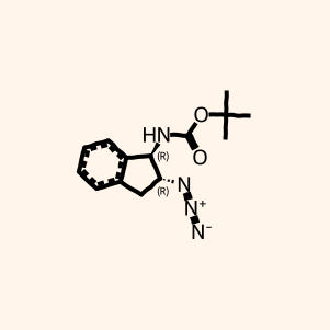 CC(C)(C)OC(=O)N[C@@H]1c2ccccc2C[C@H]1N=[N+]=[N-]